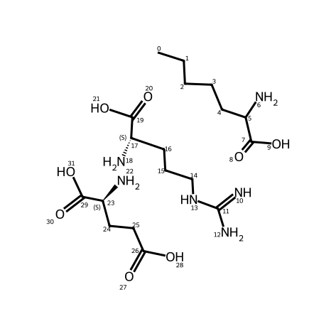 CCCCCC(N)C(=O)O.N=C(N)NCCC[C@H](N)C(=O)O.N[C@@H](CCC(=O)O)C(=O)O